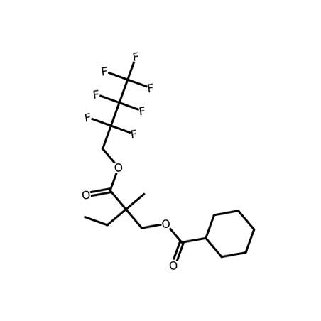 CCC(C)(COC(=O)C1CCCCC1)C(=O)OCC(F)(F)C(F)(F)C(F)(F)F